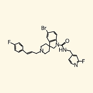 O=C(NCc1ccnc(F)c1)N1CC2(CCN(CC=Cc3ccc(F)cc3)CC2)c2cc(Br)ccc21